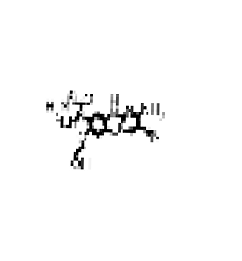 CN(N)C(=O)N(N)c1cc(Nc2ncc(C#N)c(N)n2)c(F)cc1OCCO